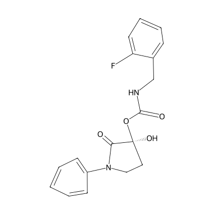 O=C(NCc1ccccc1F)O[C@@]1(O)CCN(c2ccccc2)C1=O